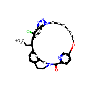 O=C(O)CC1c2ccc3c(c2)CN(CC3)C(=O)c2ccc(cn2)OCCCCCCn2nnc3c(Cl)c1ccc32